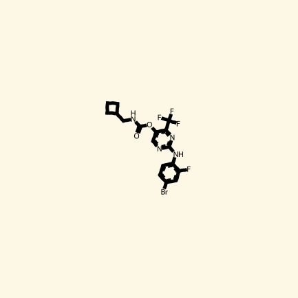 O=C(NCC1CCC1)Oc1cnc(Nc2ccc(Br)cc2F)nc1C(F)(F)F